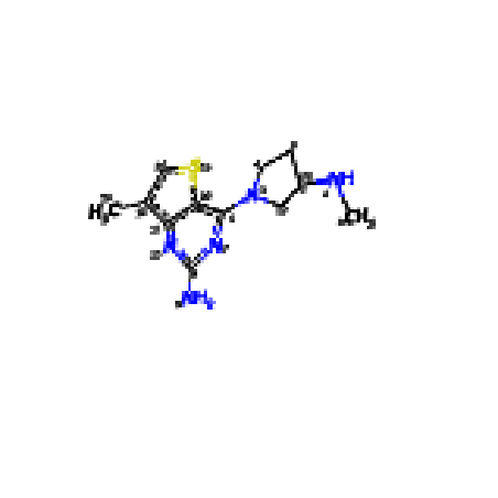 CN[C@@H]1CCN(c2nc(N)nc3c(C)csc23)C1